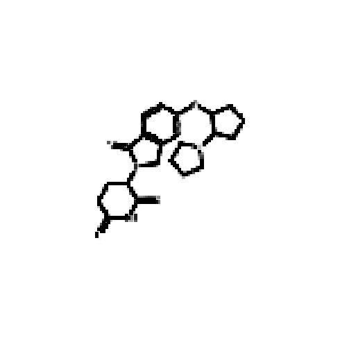 O=C1CCC(N2Cc3cc(OC4CCCC4N4CCCC4)ccc3C2=O)C(=O)N1